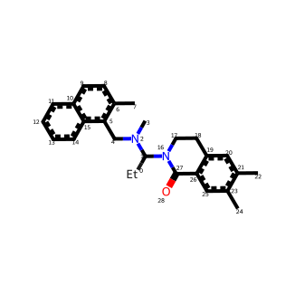 CCC(N(C)Cc1c(C)ccc2ccccc12)N1CCc2cc(C)c(C)cc2C1=O